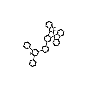 c1ccc(-c2cc(-c3cccc(-c4ccc5c(c4)C4(c6ccccc6-c6ccccc64)c4oc6ccccc6c4-5)c3)cc(-c3ccccc3)n2)cc1